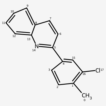 Cc1ccc(-c2c[c]c3ccccc3n2)cc1Cl